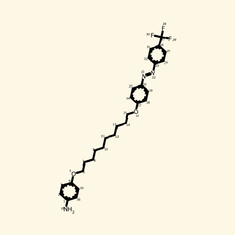 Nc1ccc(OCCCCCCCCCCOc2ccc(/N=N/c3ccc(C(F)(F)F)cc3)cc2)cc1